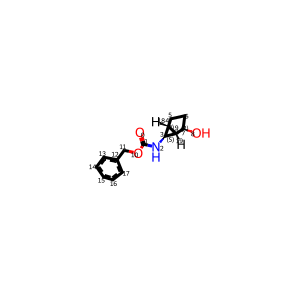 O=C(N[C@H]1[C@@H]2CC[C@@H](O)[C@@H]21)OCc1ccccc1